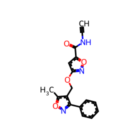 C#CNC(=O)c1cc(OCc2c(-c3ccccc3)noc2C)no1